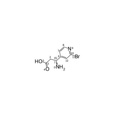 N[C@@H](CC(=O)O)c1ccnc(Br)c1